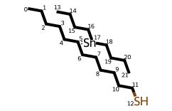 CCCCCCCCCCCCS.CCC[CH2][Sn][CH2]CCC